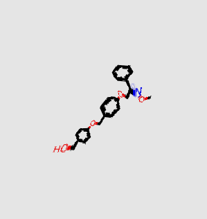 CO/N=C(\COc1ccc(COc2ccc(CO)cc2)cc1)c1ccccc1